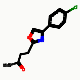 CNC(=O)CCc1nc(-c2ccc(Cl)cc2)co1